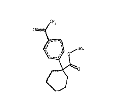 CC(C)(C)OC(=O)C1(c2ccc(C(=O)C(F)(F)F)cc2)CCCCC1